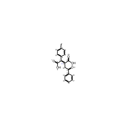 Cc1ccc(/C(C(=O)O)=C(/CC(=O)c2ccccc2)C(=O)O)cc1